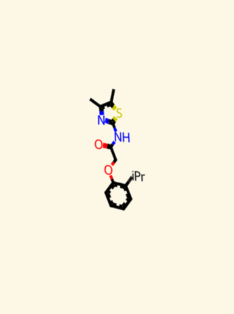 Cc1nc(NC(=O)COc2ccccc2C(C)C)sc1C